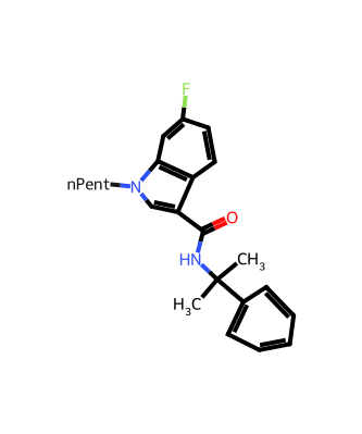 CCCCCn1cc(C(=O)NC(C)(C)c2ccccc2)c2ccc(F)cc21